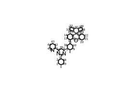 c1ccc(-c2nc(-c3cccc(-c4cccc5c4Oc4ccccc4C54c5ccccc5-c5ccccc54)c3)cc(-c3ccccn3)n2)cc1